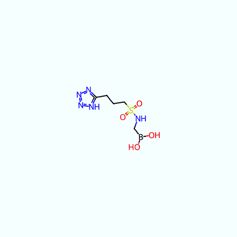 O=S(=O)(CCCc1nnn[nH]1)NCB(O)O